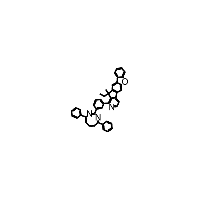 CCC1(C)c2cc3c(cc2-c2ccnc(-c4cccc(C5=N/C(c6ccccc6)=C\CC/C(c6ccccc6)=N\5)c4)c21)oc1ccccc13